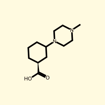 CN1CCN(C2CCC[C@H](C(=O)O)C2)CC1